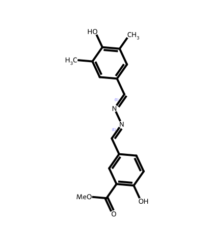 COC(=O)c1cc(/C=N/N=C/c2cc(C)c(O)c(C)c2)ccc1O